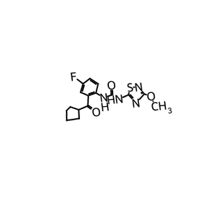 COc1nsc(NC(=O)Nc2ccc(F)cc2C(=O)C2CCCC2)n1